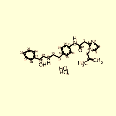 C=C(C)Cn1ccnc1CC(=O)Nc1ccc(CCNC[C@H](O)c2ccccc2)cc1.Cl.Cl